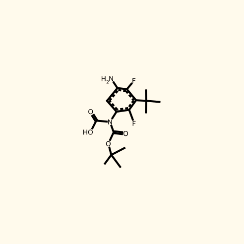 CC(C)(C)OC(=O)N(C(=O)O)c1cc(N)c(F)c(C(C)(C)C)c1F